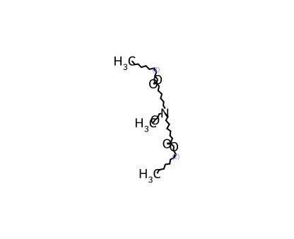 CCCCCC/C=C\COC(=O)CCCCCCCN(CCCCCCCC(=O)OC/C=C\CCCCCC)CCOC